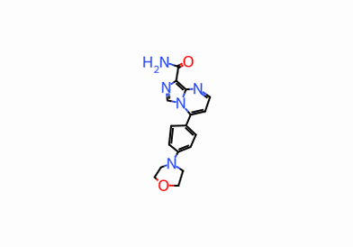 NC(=O)c1ncn2c(-c3ccc(N4CCOCC4)cc3)ccnc12